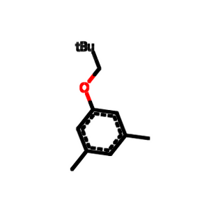 Cc1cc(C)cc(OCC(C)(C)C)c1